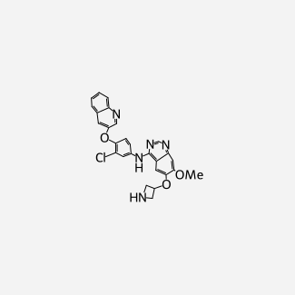 COc1cc2ncnc(Nc3ccc(Oc4cnc5ccccc5c4)c(Cl)c3)c2cc1OC1CNC1